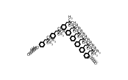 C[N+](C)(C)Cc1ccccc1.C[N+](C)(C)Cc1ccccc1.C[N+](C)(C)Cc1ccccc1.C[N+](C)(C)Cc1ccccc1.C[N+](C)(C)Cc1ccccc1.C[N+](C)(C)Cc1ccccc1.C[N+](C)(C)Cc1ccccc1.C[N+](C)(C)Cc1ccccc1.Cl.Cl.Cl.Cl.[Cl-].[Cl-].[Cl-].[Cl-].[Cl-].[Cl-].[Cl-].[Cl-]